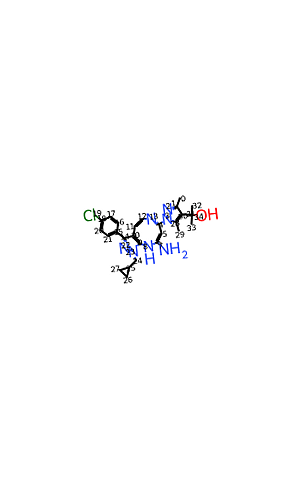 Cc1nn(-c2cc(N)[nH]c3c(ccn2)c(-c2ccc(Cl)cc2)nn3CC2CC2)c(C)c1C(C)(C)O